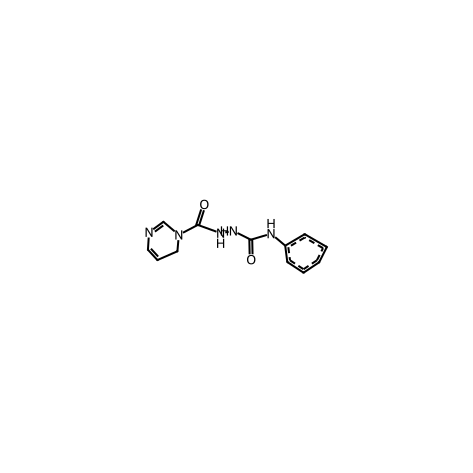 O=C(NNC(=O)N1C=NC=CC1)Nc1ccccc1